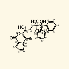 CC(C)(CC[C@@H](O)c1oc(=O)c2ccccc2c1Br)[Si](O)(c1ccccc1)c1ccccc1